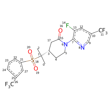 CC(C)([C@H]1CCN(c2ncc(C(F)(F)F)cc2F)C(=O)C1)S(=O)(=O)c1cccc(C(F)(F)F)c1